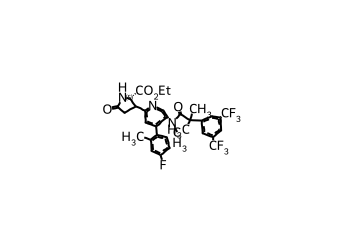 CCOC(=O)[C@H]1NC(=O)CC1c1cc(-c2ccc(F)cc2C)c(N(C)C(=O)C(C)(C)c2cc(C(F)(F)F)cc(C(F)(F)F)c2)cn1